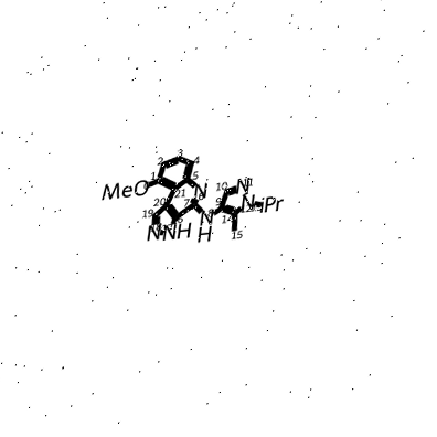 COc1cccc2nc(Nc3cnn(C(C)C)c3C)c3[nH]ncc3c12